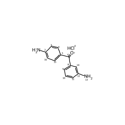 Cl.Nc1ccc(C(=O)c2cccc(N)c2)cc1